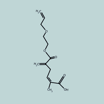 C=CCOCCOC(=O)C(=C)CC=C(C)C(=O)O